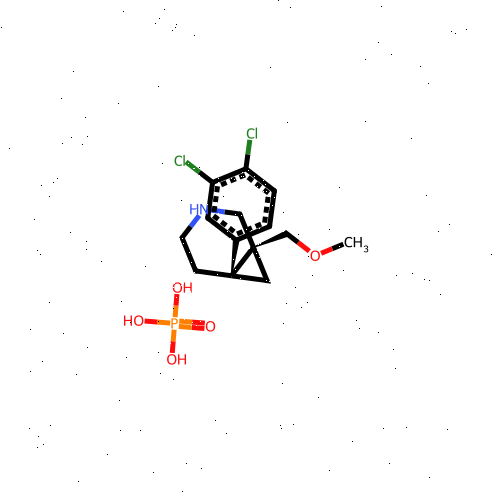 COC[C@]12CNCC[C@@]1(c1ccc(Cl)c(Cl)c1)C2.O=P(O)(O)O